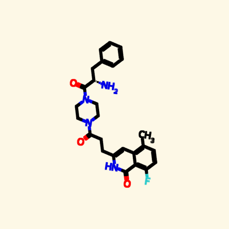 Cc1ccc(F)c2c(=O)[nH]c(CCC(=O)N3CCN(C(=O)[C@@H](N)Cc4ccccc4)CC3)cc12